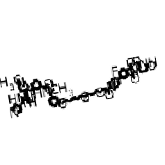 CC(NC(=O)c1cccc(NC2(c3nnc(-c4ccncc4)[nH]3)CCN(C)CC2)c1)c1cccc(OCCCCCOCCCOCC(=O)N2CCN(c3cc4c(cc3F)C(=O)N(C3CCC(=O)NC3=O)C4=O)CC2)c1